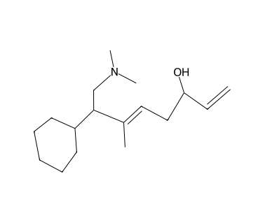 C=CC(O)C/C=C(\C)C(CN(C)C)C1CCCCC1